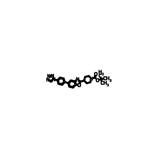 CC(C)(C)OC(=O)N1CCC(c2nc3cc(-c4ccc(-n5cnnn5)cc4)ccc3o2)CC1